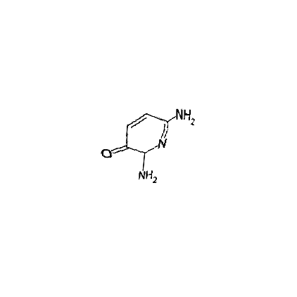 NC1=NC(N)C(=O)C=C1